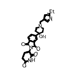 CCn1cc(CN2CCC(O)(c3ccc4c(c3)C(=O)N(C3CCC(=O)NC3=O)C4=O)CC2)cn1